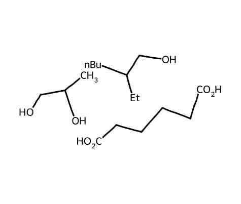 CC(O)CO.CCCCC(CC)CO.O=C(O)CCCCC(=O)O